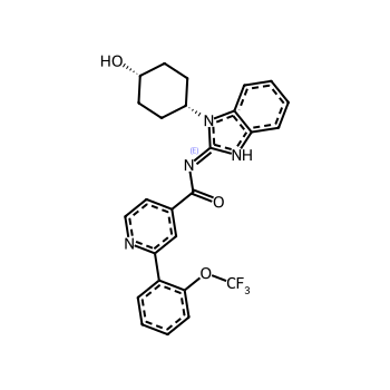 O=C(/N=c1\[nH]c2ccccc2n1[C@H]1CC[C@@H](O)CC1)c1ccnc(-c2ccccc2OC(F)(F)F)c1